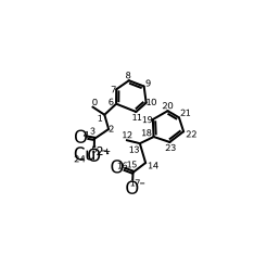 CC(CC(=O)[O-])c1ccccc1.CC(CC(=O)[O-])c1ccccc1.[Cu+2]